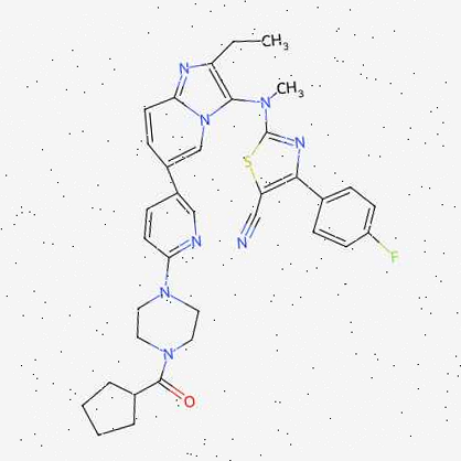 CCc1nc2ccc(-c3ccc(N4CCN(C(=O)C5CCCC5)CC4)nc3)cn2c1N(C)c1nc(-c2ccc(F)cc2)c(C#N)s1